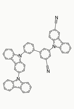 N#Cc1cc(-c2cccc(-n3c4ccccc4c4cc(-n5c6ccccc6c6ccccc65)ccc43)c2)cc(-n2c3ccccc3c3cc(C#N)ccc32)c1